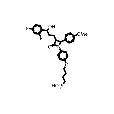 COc1ccc(C2C(CCC(O)c3ccc(F)cc3F)C(=O)N2c2ccc(OCCCCS(=O)(=O)O)cc2)cc1